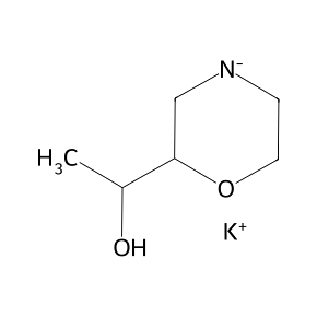 CC(O)C1C[N-]CCO1.[K+]